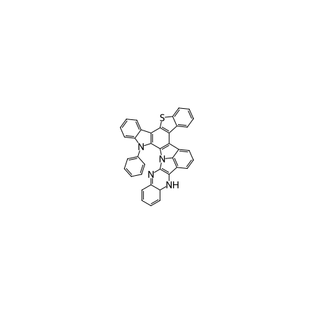 C1=CC2=Nc3c(c4cccc5c6c7c8ccccc8sc7c7c8ccccc8n(-c8ccccc8)c7c6n3c45)NC2C=C1